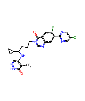 O=c1[nH]ncc(NC(CCCn2cnc3cc(-c4ncc(Cl)cn4)c(F)cc3c2=O)C2CC2)c1C(F)(F)F